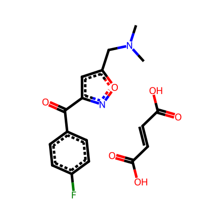 CN(C)Cc1cc(C(=O)c2ccc(F)cc2)no1.O=C(O)C=CC(=O)O